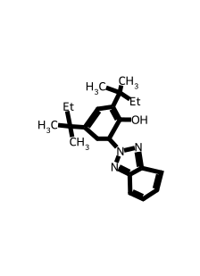 CCC(C)(C)C1=CC(C(C)(C)CC)=C(O)C(n2nc3ccccc3n2)C1